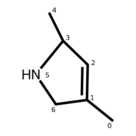 CC1=CC(C)NC1